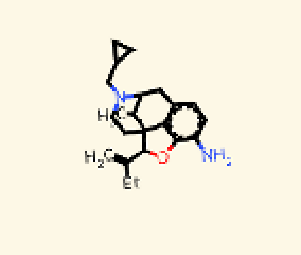 C=C(CC)C1Oc2c(N)ccc3c2C12CCN(CC1CC1)C(C3)C2C